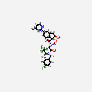 Cc1ccnc(-c2ccc3c(c2)CC(=O)[C@]32OCN(CC(=O)N(Cc3ccc(F)cc3)[C@@H](C)C(F)(F)F)C2=O)n1